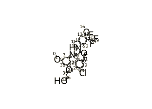 COc1cc(N[C@@H](C(=O)N2CCc3cc(OC)c(C(F)(F)F)cc32)c2ccc(Cl)cc2F)cc(OCCO)c1